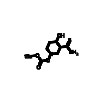 CC(C)(C)OC(=O)ON1CCC(O)C(C(N)=S)C1